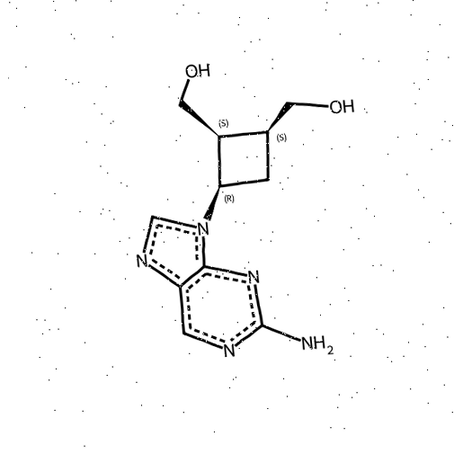 Nc1ncc2ncn([C@@H]3C[C@H](CO)[C@@H]3CO)c2n1